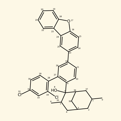 CC1CC2CC(C)C(O)(c3ccc(-c4ccc5oc6ccccc6c5c4)cc3-c3ccc(Cl)cc3Cl)C(C1)C2